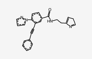 O=C(NCCC1=CCC=N1)c1ccc(-n2cccn2)c(C#Cc2ccccc2)c1